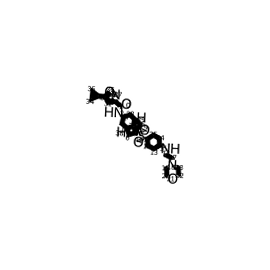 O=C(N[C@@H]1C[C@@H]2CC3(S(=O)(=O)[C@H]4CC[C@@H](NCCN5CCOCC5)CC4)C[C@H](C1)C23)c1cc(C2CC2)on1